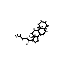 CC(C)CCC[C@@H](C)C1CCC2C3CC=C4CCCCC4(C)C3CCC21C